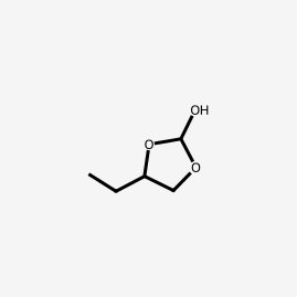 CCC1COC(O)O1